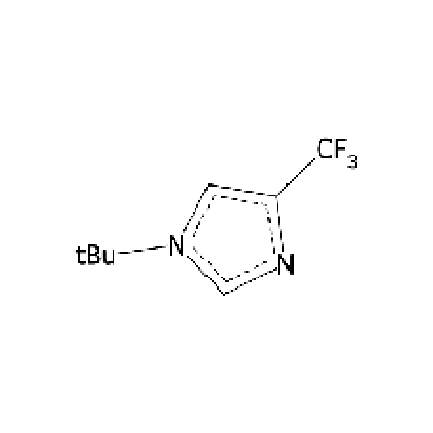 CC(C)(C)n1cnc(C(F)(F)F)c1